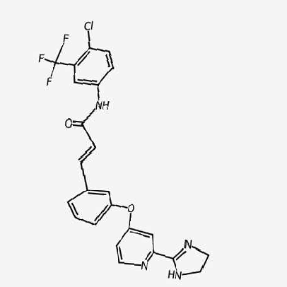 O=C(C=Cc1cccc(Oc2ccnc(C3=NCCN3)c2)c1)Nc1ccc(Cl)c(C(F)(F)F)c1